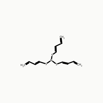 C=CC=C[S][Bi]([S]C=CC=C)[S]C=CC=C